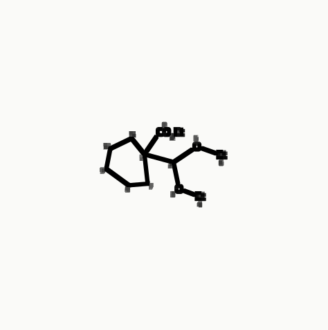 CCOC(=O)C1(C(OCC)OCC)CCCCC1